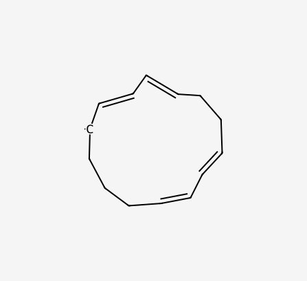 [CH]1/C=C/C=C/CC/C=C/C=C\CCC1